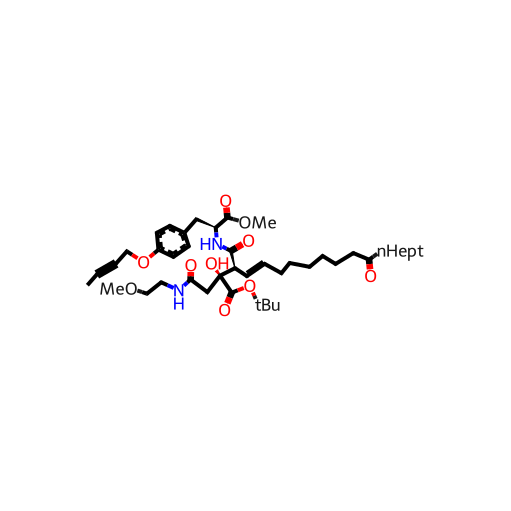 CC#CCOc1ccc(C[C@H](NC(=O)[C@@H](/C=C/CCCCCCC(=O)CCCCCCC)[C@@](O)(CC(=O)NCCOC)C(=O)OC(C)(C)C)C(=O)OC)cc1